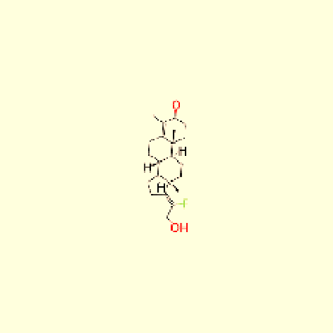 CC1=C2CC[C@@H]3[C@H](CC[C@]4(C)C(=C(F)CO)CC[C@@H]34)[C@@]2(C)CCC1=O